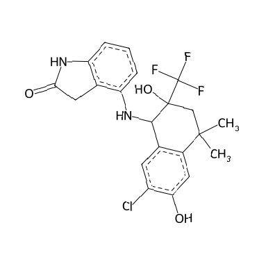 CC1(C)CC(O)(C(F)(F)F)C(Nc2cccc3c2CC(=O)N3)c2cc(Cl)c(O)cc21